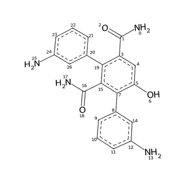 NC(=O)c1cc(O)c(-c2cccc(N)c2)c(C(N)=O)c1-c1cccc(N)c1